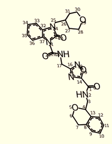 O=C(NCC1OCCc2ccccc21)c1nc(CNC(=O)n2c(=O)n(CC3CCOCC3)c3ccccc32)no1